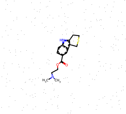 CN(C)CCOC(=O)c1ccc2[nH]c3c(c2c1)CSCC3